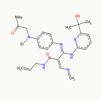 C=CCNC(=O)C(=C/N=C)/C(=N\c1ccc(N(CC)CC(=O)NC)cc1)Nc1cccc(C(C)(C)O)n1